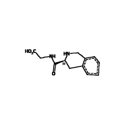 O=C(O)CNC(=O)[C@@H]1Cc2ccccc2CN1